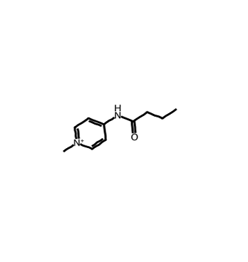 CCCC(=O)Nc1cc[n+](C)cc1